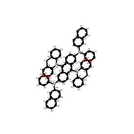 c1ccc(N(c2ccc3ccccc3c2)c2ccc3c(N4c5ccccc5Cc5ccccc54)c4cc(N(c5ccccc5)c5ccc6ccccc6c5)ccc4c(N4c5ccccc5Cc5ccccc54)c3c2)cc1